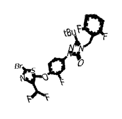 CC(C)(C)c1nn(-c2ccc(Oc3sc(Br)nc3C(F)F)c(F)c2)c(=O)n1Cc1c(F)cccc1F